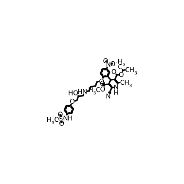 COC(=O)C1=C(C#N)NC(C)=C(C(=O)OC(C)C)C1c1cc([N+](=O)[O-])ccc1OCCCCNCC(O)COc1ccc(NS(C)(=O)=O)cc1